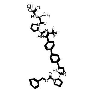 COC(=O)N[C@@H](C)C(=O)N1CCC[C@H]1c1nc(C(F)(F)F)c(-c2ccc(-c3ccc(-c4cnc([C@@H]5CCCN5C(=O)OCc5ccccc5)[nH]4)cc3)cc2)[nH]1